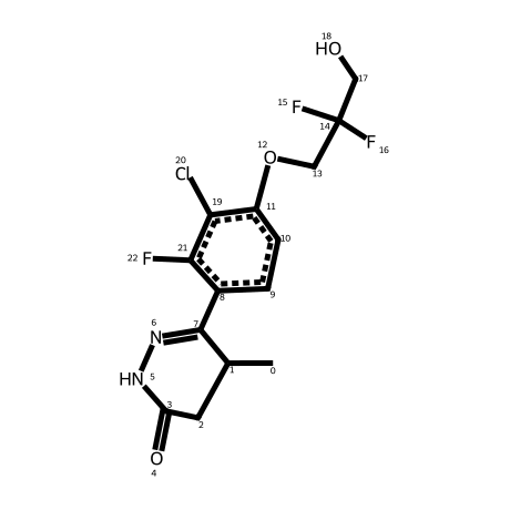 CC1CC(=O)NN=C1c1ccc(OCC(F)(F)CO)c(Cl)c1F